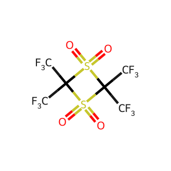 O=S1(=O)C(C(F)(F)F)(C(F)(F)F)S(=O)(=O)C1(C(F)(F)F)C(F)(F)F